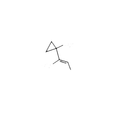 CCOC(=O)C(=CF)C1(C(=O)O)CC1